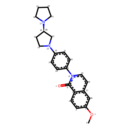 COc1ccc2c(=O)n(-c3ccc(N4CC[C@@H](N5CCCC5)C4)cc3)ccc2c1